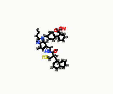 CCCc1nc2c(C)cc(CNC(=O)C(CS)Cc3cccc4ccccc34)cc2n1Cc1ccc(-c2ccccc2C(=O)O)cc1